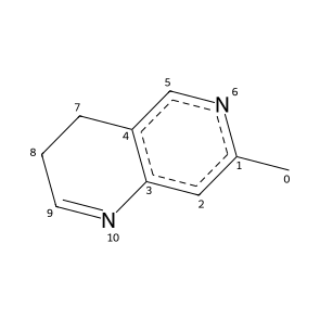 Cc1cc2c(cn1)CCC=N2